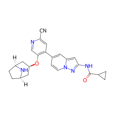 N#Cc1cc(-c2ccn3nc(NC(=O)C4CC4)cc3c2)c(O[C@H]2C[C@H]3CC[C@@H](C2)N3)cn1